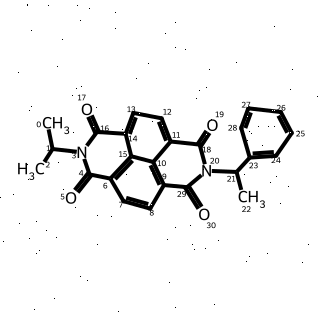 CC(C)N1C(=O)c2ccc3c4c(ccc(c24)C1=O)C(=O)N(C(C)c1ccccc1)C3=O